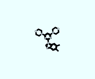 Cc1cc2ncn(-c3nc(N4CCOCC4)cc(N4CCOCC4)n3)c2cc1C